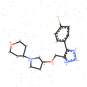 Fc1ccc(-c2nn[nH]c2COC2CCN(C3CCOCC3)C2)cc1